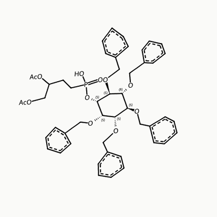 CC(=O)OCC(CCP(=O)(O)O[C@@H]1[C@@H](OCc2ccccc2)[C@H](OCc2ccccc2)[C@@H](OCc2ccccc2)[C@H](OCc2ccccc2)[C@@H]1OCc1ccccc1)OC(C)=O